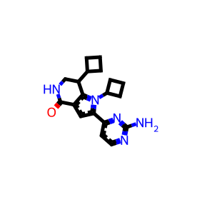 Nc1nccc(-c2cc3c(n2C2CCC2)C(C2CCC2)CNC3=O)n1